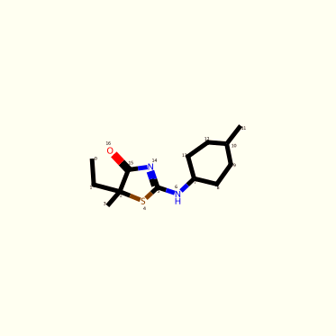 CCC1(C)SC(NC2CCC(C)CC2)=NC1=O